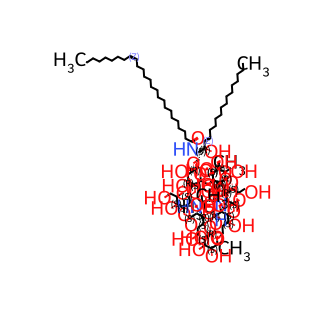 CCCCCCCC/C=C\CCCCCCCCCCCCCCCC(=O)N[C@@H](CO[C@@H]1OC(CO)[C@@H](O[C@@H]2OC(CO)[C@H](O)[C@H](O[C@@H]3OC(CO)[C@@H](O[C@H]4OC(C)[C@@H](O)C(O)[C@@H]4O)[C@H](O[C@@H]4OC(CO)[C@H](O)[C@H](O[C@@H]5OC(CO)[C@@H](O[C@H]6OC(C)[C@@H](O)C(O)[C@@H]6O)[C@H](O[C@@H]6OC(CO)[C@H](O)[C@H](O)C6O)C5NC(C)=O)C4O)C3NC(C)=O)C2O)[C@H](O)C1O)[C@H](O)/C=C/CCCCCCCCCCCCC